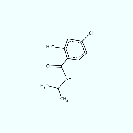 Cc1cc(Cl)ccc1C(=O)NC(C)C